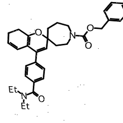 CCN(CC)C(=O)c1ccc(C2=CC3(CCCN(C(=O)OCc4ccccc4)CC3)OC3=C2C=CCC3)cc1